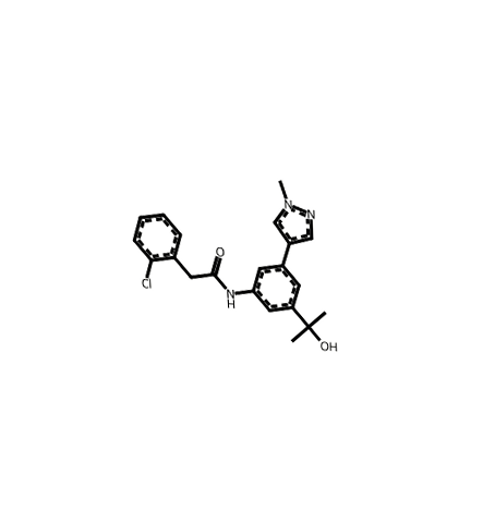 Cn1cc(-c2cc(NC(=O)Cc3ccccc3Cl)cc(C(C)(C)O)c2)cn1